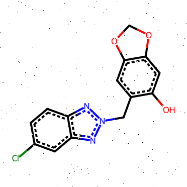 Oc1cc2c(cc1Cn1nc3ccc(Cl)cc3n1)OCO2